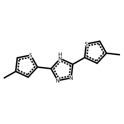 Cc1csc(-c2nnc(-c3cc(C)cs3)[nH]2)c1